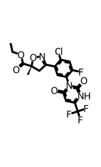 CCOC(=O)[C@@]1(C)CC(c2cc(-n3c(=O)cc(C(F)(F)F)[nH]c3=O)c(F)cc2Cl)=NO1